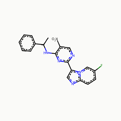 CC(Nc1nc(-c2cnc3ccc(F)cn23)ncc1[N+](=O)[O-])c1ccccc1